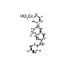 Cc1ccc(Nc2ncc3cc(-c4cccc(C(=O)O)c4)cc(C)c3n2)cn1